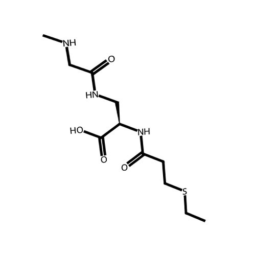 CCSCCC(=O)N[C@H](CNC(=O)CNC)C(=O)O